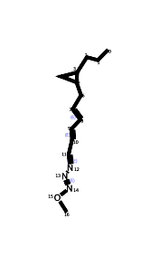 CCCC1CC1C/C=C/C=C/C=N/N=N/OC